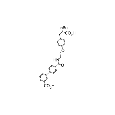 CCCCC(Cc1ccc(OCCNC(=O)c2ccc(-c3cccc(C(=O)O)c3)cc2)cc1)C(=O)O